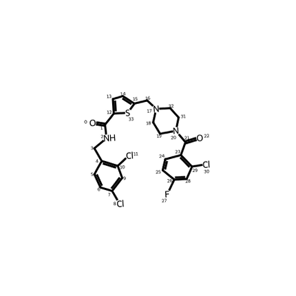 O=C(NCc1ccc(Cl)cc1Cl)c1ccc(CN2CCN(C(=O)c3ccc(F)cc3Cl)CC2)s1